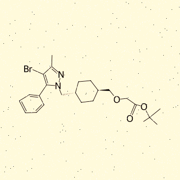 Cc1nn(C[C@H]2CC[C@H](COCC(=O)OC(C)(C)C)CC2)c(-c2ccccc2)c1Br